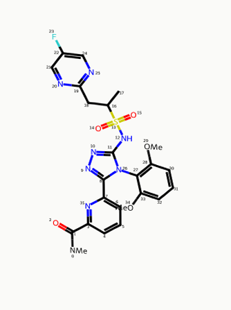 CNC(=O)c1cccc(-c2nnc(NS(=O)(=O)C(C)Cc3ncc(F)cn3)n2-c2c(OC)cccc2OC)n1